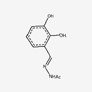 CC(=O)NN=Cc1cccc(O)c1O